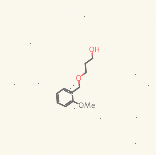 COc1ccccc1COCCCO